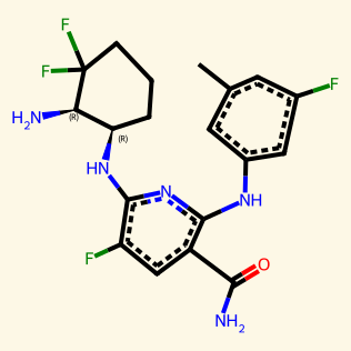 Cc1cc(F)cc(Nc2nc(N[C@@H]3CCCC(F)(F)[C@@H]3N)c(F)cc2C(N)=O)c1